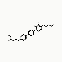 CCCCCc1ccc(-c2ccc(-c3ccc(CCCC(C)CC)cc3)cc2)c(F)c1F